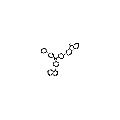 C1=CC2c3ccccc3SC2C=C1c1ccc(N(c2ccc(-c3ccccc3)cc2)c2ccc(-c3cccc4ccccc34)cc2)cc1